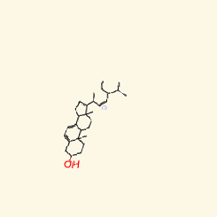 CCC(/C=C\C(C)C1CCC2C3=CC=C4CC(O)CCC4(C)C3CCC21C)C(C)C